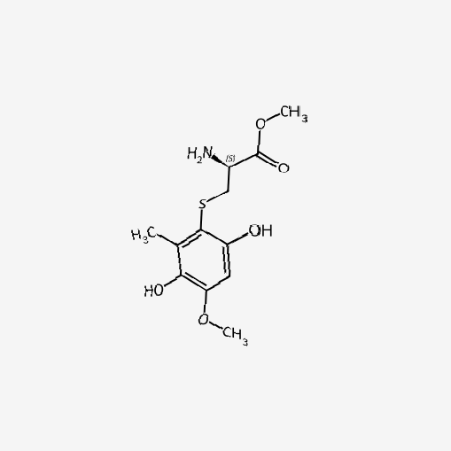 COC(=O)[C@H](N)CSc1c(O)cc(OC)c(O)c1C